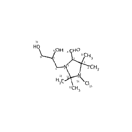 CC1(C)C(C=O)N(CC(O)CO)C(C)(C)N1Cl